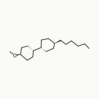 CCCCCC[C@H]1CC[C@H]([C@H]2CC[C@H](OC)CC2)CC1